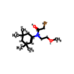 COCCN(C(=O)CBr)C1=CC(C)(C)CC(C)(C)C1